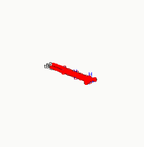 CCCOCCOCCOCCOCCNC(=O)CCOCCOCCOCCOCCNC(=O)CCOCCOCCOCCOCCNC(=O)C(NC(=O)OCc1ccccc1)C(NC(=O)OCc1ccccc1)C(=O)NCCOCCOCCOCCOCCC(=O)NCCOCCOCCOCCOCCC(=O)NCCOCCOCCOCCOCCC(C(C)(C)C)C(C)(C)C